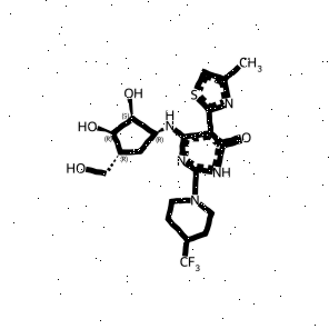 Cc1csc(-c2c(N[C@@H]3C[C@H](CO)[C@@H](O)[C@H]3O)nc(N3CCC(C(F)(F)F)CC3)[nH]c2=O)n1